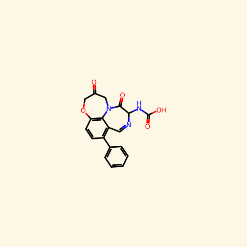 O=C1COc2ccc(-c3ccccc3)c3c2N(C1)C(=O)C(NC(=O)O)N=C3